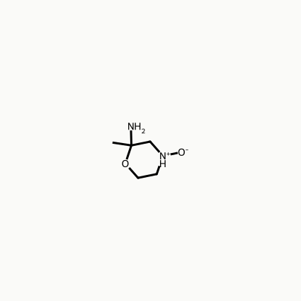 CC1(N)C[NH+]([O-])CCO1